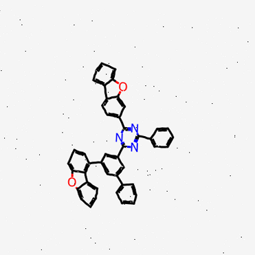 c1ccc(-c2cc(-c3nc(-c4ccccc4)nc(-c4ccc5c(c4)oc4ccccc45)n3)cc(-c3cccc4oc5ccccc5c34)c2)cc1